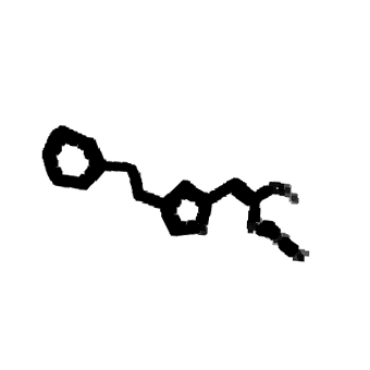 C/C(=C/c1cc(CCc2ccccc2)cs1)N=[N+]=[N-]